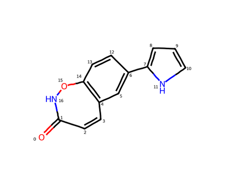 O=C1C=Cc2cc(-c3ccc[nH]3)ccc2ON1